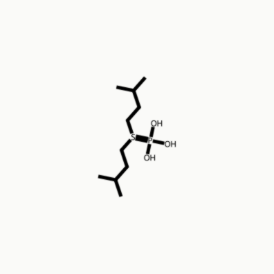 CC(C)CCS(CCC(C)C)=P(O)(O)O